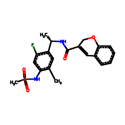 Cc1cc([C@@H](C)NC(=O)C2=Cc3ccccc3OC2)c(F)cc1NS(C)(=O)=O